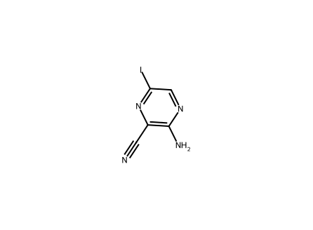 N#Cc1nc(I)cnc1N